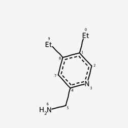 CCc1cnc(CN)cc1CC